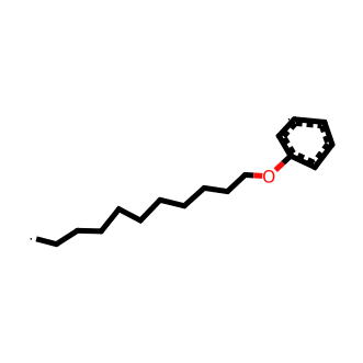 [CH2]CCCCCCCCCCOc1c[c]ccc1